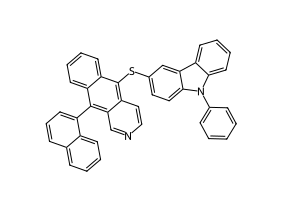 c1ccc(-n2c3ccccc3c3cc(Sc4c5ccccc5c(-c5cccc6ccccc56)c5cnccc45)ccc32)cc1